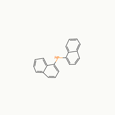 c1ccc2c(Pc3cccc4ccccc34)cccc2c1